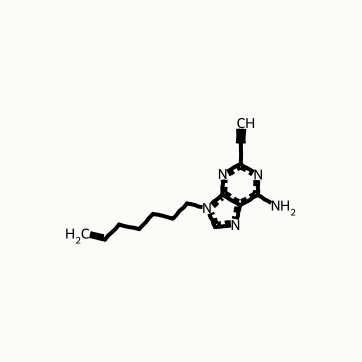 C#Cc1nc(N)c2ncn(CCCCCC=C)c2n1